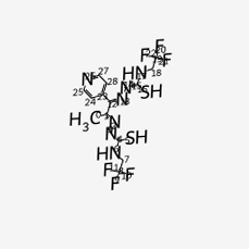 CC(=N\N=C(/S)NCC(F)(F)F)/C(=N/N=C(\S)NCC(F)(F)F)c1ccncc1